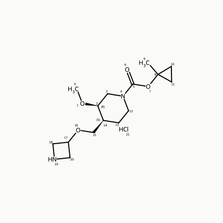 CO[C@H]1CN(C(=O)OC2(C)CC2)CC[C@H]1COC1CNC1.Cl